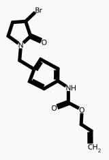 C=CCOC(=O)Nc1ccc(CN2CCC(Br)C2=O)cc1